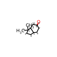 CC1(C)CCC2CCC(=O)CC21